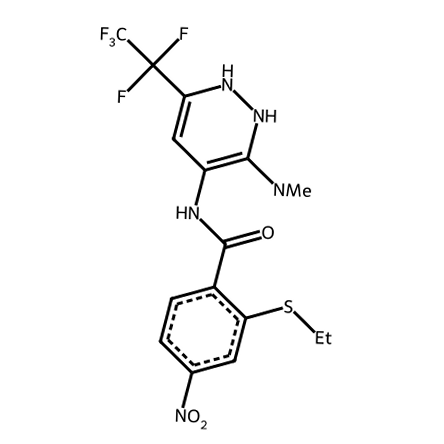 CCSc1cc([N+](=O)[O-])ccc1C(=O)NC1=C(NC)NNC(C(F)(F)C(F)(F)F)=C1